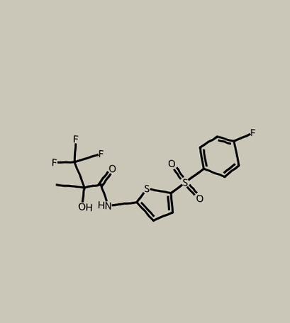 CC(O)(C(=O)Nc1ccc(S(=O)(=O)c2ccc(F)cc2)s1)C(F)(F)F